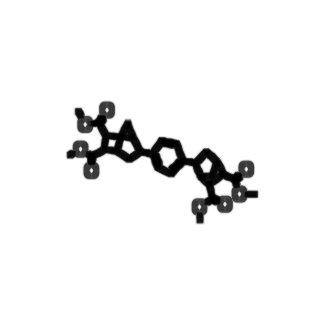 COC(=O)C1C2CC(c3ccc(C4CC5C(C(=O)OC)C(C(=O)OC)C56CC46)cc3)C(C2)C1C(=O)OC